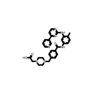 Cc1ccc(NC(=O)c2ccc(CN3CCN(CC(=O)O)CC3)cc2)cc1Nc1nccc(-c2cccnc2)n1